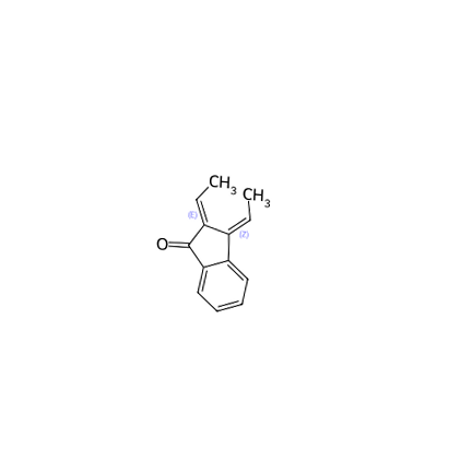 C/C=C1\C(=C/C)C(=O)c2ccccc21